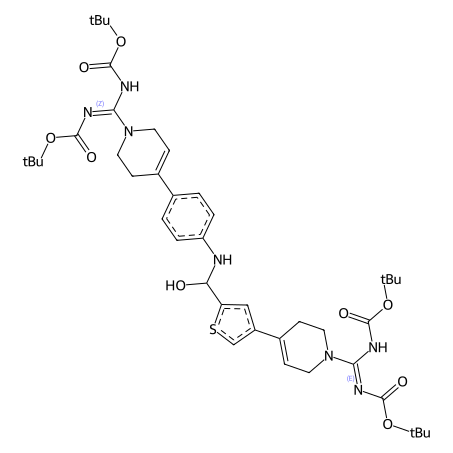 CC(C)(C)OC(=O)/N=C(/NC(=O)OC(C)(C)C)N1CC=C(c2ccc(NC(O)c3cc(C4=CCN(/C(=N/C(=O)OC(C)(C)C)NC(=O)OC(C)(C)C)CC4)cs3)cc2)CC1